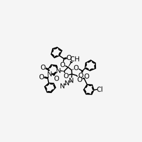 C#C[C@@]1(OC(=O)c2ccccc2)[C@H](OC(=O)c2ccccc2)C(COC(=O)c2cccc(Cl)c2)(N=[N+]=[N-])O[C@H]1n1ccc(=O)n(C(=O)c2ccccc2)c1=O